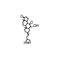 C[C@]12CC/C(=C\CC3CCNC3)CC1[C@@H](CO)C(=O)C1C2CC[C@]2(C)C(=O)CCC12